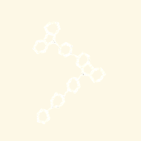 c1ccc(-c2ccc(-c3ccc(-n4c5ccccc5c5ccc(-c6ccc(-n7c8ccccc8c8ccccc87)cc6)cc54)cc3)cc2)cc1